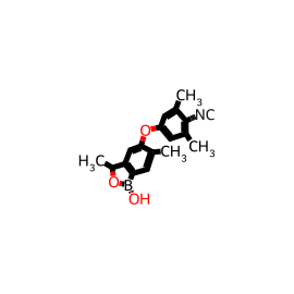 [C-]#[N+]c1c(C)cc(Oc2cc3c(cc2C)B(O)OC3C)cc1C